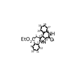 CCOC(=O)Cc1c2c(nn1-c1ccccc1)c(=O)[nH]c1ccccc12